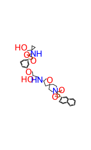 O=S(=O)(NC1(CO)CC1)c1cccc(OCC(O)CNC2COC3(CCN(S(=O)(=O)c4ccc5ccccc5c4)CC3)C2)c1